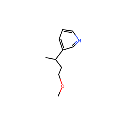 COCCC(C)c1cccnc1